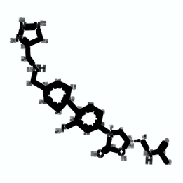 C=C(C)NC[C@H]1CN(c2ccc(-c3ccc(CNCC4=NN=NC4)cc3)c(F)c2)C(=O)O1